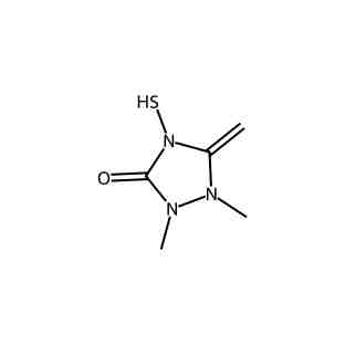 C=C1N(S)C(=O)N(C)N1C